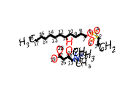 C=CCS(=O)(=O)OCCCCCCCCCCCC.C[N+](C)(C)CC(O)CC(=O)[O-]